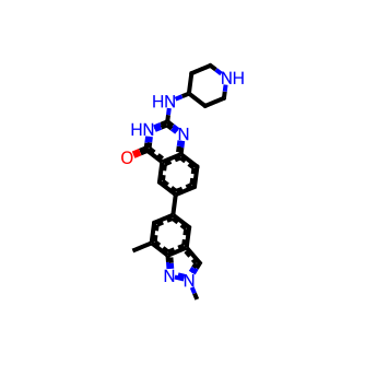 Cc1cc(-c2ccc3nc(NC4CCNCC4)[nH]c(=O)c3c2)cc2cn(C)nc12